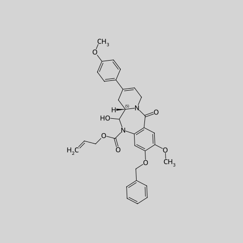 C=CCOC(=O)N1c2cc(OCc3ccccc3)c(OC)cc2C(=O)N2CC=C(c3ccc(OC)cc3)C[C@H]2C1O